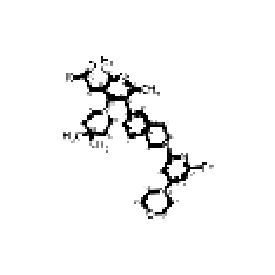 Cc1nc(C)c(-c2ccc3c(c2)CCN(c2cc(N4CCOCC4)cc(F)n2)C3)c(N2CCC(C)(C)CC2)c1CC(=O)O